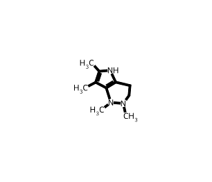 Cc1[nH]c2c(c1C)N(C)N(C)CC2